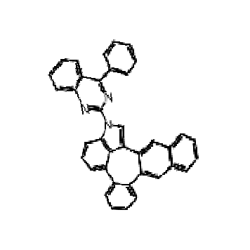 c1ccc(-c2nc(-n3cc4c5c(cccc53)-c3ccccc3-c3cc5ccccc5cc3-4)nc3ccccc23)cc1